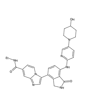 CCNC(=O)c1ccn2c(-c3ccc(Nc4ccc(N5CCC(O)CC5)cn4)c4c3CNC4=O)cnc2c1